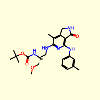 COC[C@@H](CNc1nc(Nc2cccc(C)c2)c2c(c1C)CNC2=O)NC(=O)OC(C)(C)C